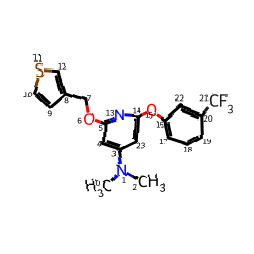 CN(C)c1cc(OCc2ccsc2)nc(Oc2cccc(C(F)(F)F)c2)c1